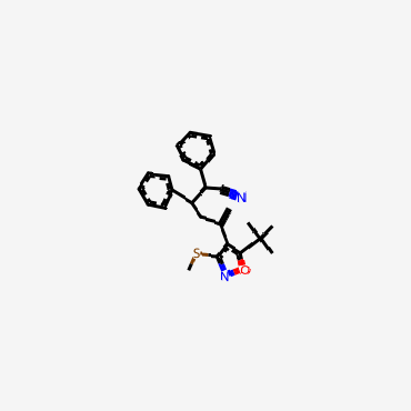 C=C(CC(c1ccccc1)C(C#N)c1ccccc1)c1c(SC)noc1C(C)(C)C